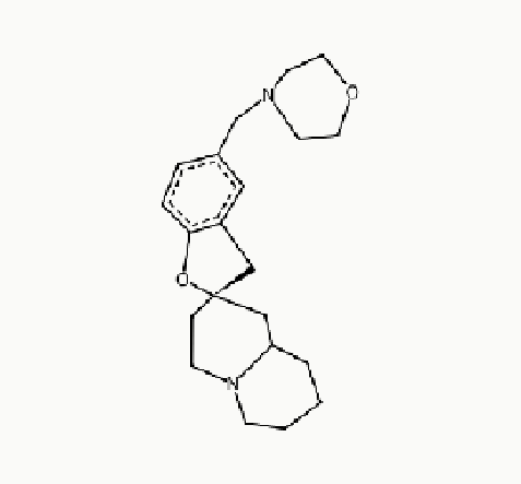 c1cc2c(cc1CN1CCOCC1)C[C@@]1(CCN3CCCCC3C1)O2